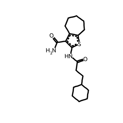 NC(=O)c1c(NC(=O)CCC2CCCCC2)sc2c1CCCCC2